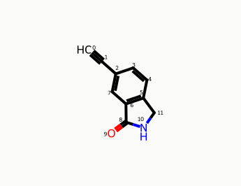 C#Cc1ccc2c(c1)C(=O)NC2